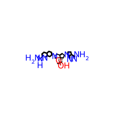 CN(CC1=CC(n2ccc3c(N)ncnc32)C[C@@H]1OC(C)(C)O)c1ccc2ccc(NN)nc2c1